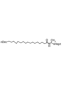 CCCCCCCCCCCCCCCCCCCCCCCCCCC(=O)NC(C)CCCCCCC